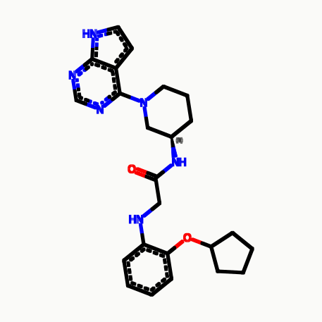 O=C(CNc1ccccc1OC1CCCC1)N[C@@H]1CCCN(c2ncnc3[nH]ccc23)C1